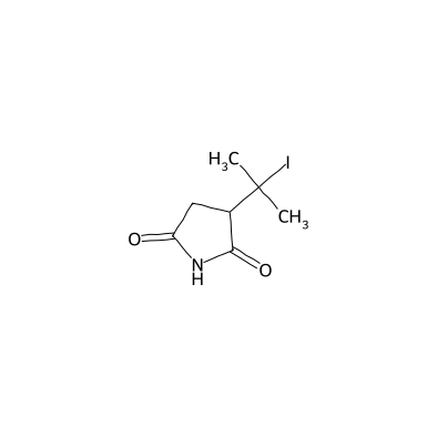 CC(C)(I)C1CC(=O)NC1=O